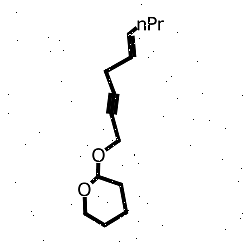 CCCC=CCC#CCOC1CCCCO1